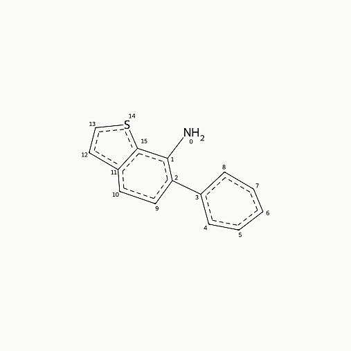 Nc1c(-c2ccccc2)ccc2ccsc12